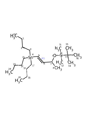 CCC[CH2][Sn](/[CH]=C/C(C)O[Si](C)(C)C(C)(C)C)([CH2]CCC)[CH2]CCC